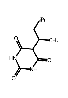 CC(C)CC(C)C1C(=O)NC(=O)NC1=O